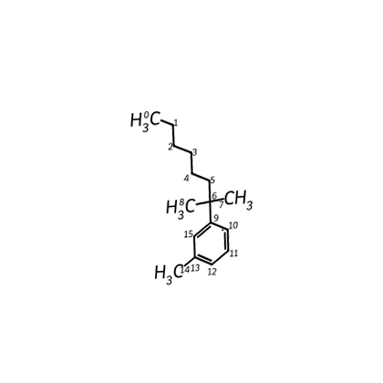 CCCCCCC(C)(C)c1[c]ccc(C)c1